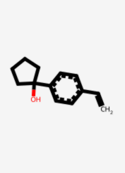 C=Cc1ccc(C2(O)CCCC2)cc1